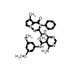 COc1cc(NC(=O)c2c(N)ncnc2NC(C)c2nn3ccc(C)c3c(=O)n2-c2ccccc2)cc(OC)c1